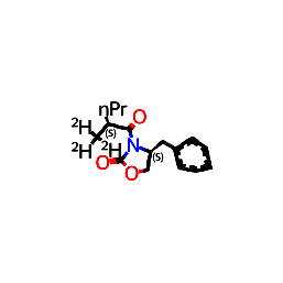 [2H]C([2H])([2H])[C@@H](CCC)C(=O)N1C(=O)OC[C@@H]1Cc1ccccc1